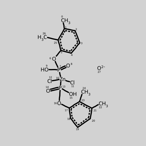 Cc1cccc(O[P](=O)(O)[Zn]([Cl])([Cl])[P](=O)(O)Oc2cccc(C)c2C)c1C.[O-2]